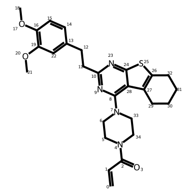 C=CC(=O)N1CCN(c2nc(CCc3ccc(OC)c(OC)c3)nc3sc4c(c23)CCCC4)CC1